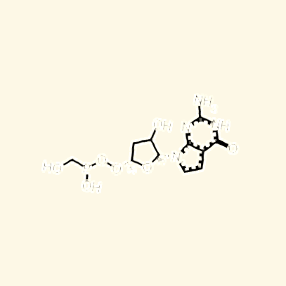 Nc1nc2c(ccn2[C@@H]2O[C@H](OOP(O)CO)CC2O)c(=O)[nH]1